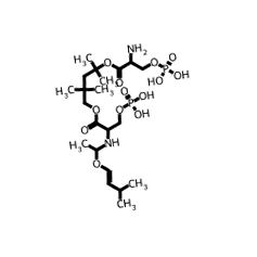 CC(C)C=COC(C)NC(COP(=O)(O)O)C(=O)OCC(C)(C)CC(C)(C)OC(=O)C(N)COP(=O)(O)O